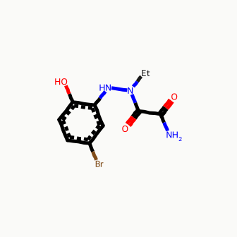 CCN(Nc1cc(Br)ccc1O)C(=O)C(N)=O